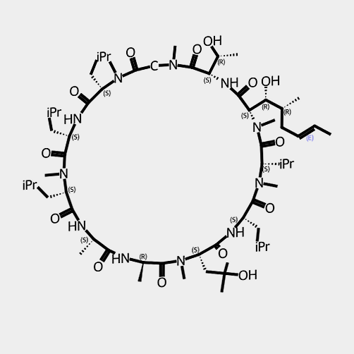 C/C=C/C[C@@H](C)[C@@H](O)[C@H]1C(=O)N[C@@H]([C@@H](C)O)C(=O)N(C)CC(=O)N(C)[C@@H](CC(C)C)C(=O)N[C@@H](CC(C)C)C(=O)N(C)[C@@H](CC(C)C)C(=O)N[C@@H](C)C(=O)N[C@H](C)C(=O)N(C)[C@@H](CC(C)(C)O)C(=O)N[C@@H](CC(C)C)C(=O)N(C)[C@@H](C(C)C)C(=O)N1C